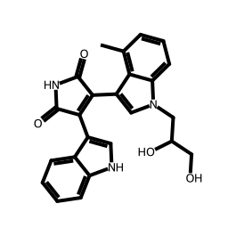 Cc1cccc2c1c(C1=C(c3c[nH]c4ccccc34)C(=O)NC1=O)cn2CC(O)CO